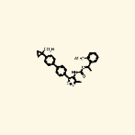 COc1ccccc1C(C)OC(=O)Nc1c(C)noc1-c1ccc(-c2ccc(C3(C(=O)O)CC3)cc2)cc1